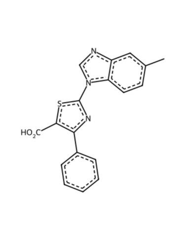 Cc1ccc2c(c1)ncn2-c1nc(-c2ccccc2)c(C(=O)O)s1